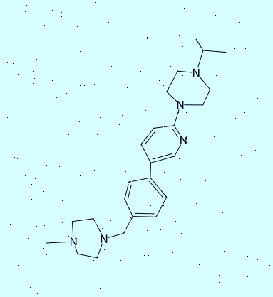 CC(C)N1CCN(c2ccc(-c3ccc(CN4CCN(C)CC4)cc3)cn2)CC1